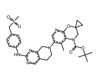 Cc1c(N2CCc3cnc(Nc4ccc(CS(C)(=O)=O)cc4)nc3C2)cnc2c1N(C(=O)OC(C)(C)C)CC1(CC1)O2